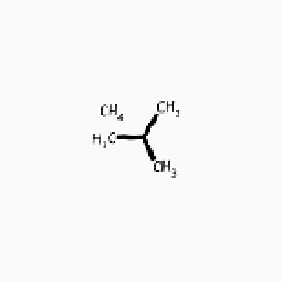 C.CC(C)C